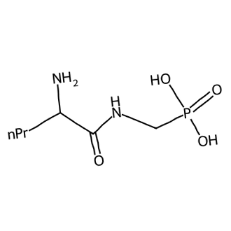 CCCC(N)C(=O)NCP(=O)(O)O